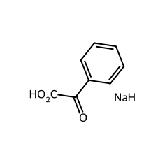 O=C(O)C(=O)c1ccccc1.[NaH]